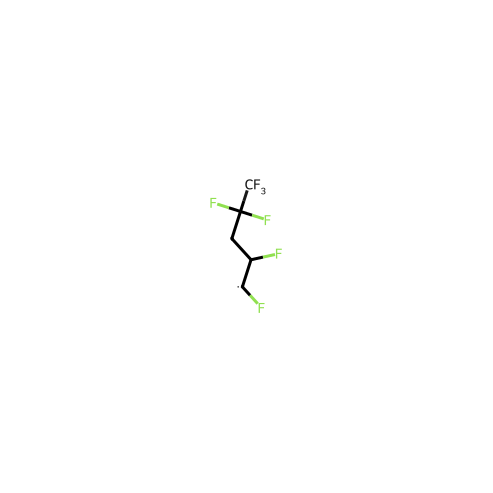 F[CH]C(F)CC(F)(F)C(F)(F)F